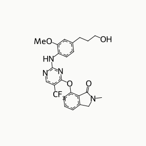 COc1cc(CCCO)ccc1Nc1ncc(C(F)(F)F)c(Oc2cccc3c2C(=O)N(C)C3)n1